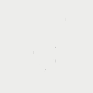 CC=CC(=O)C(O)C(O)COc1ccc(C(C)C)cc1